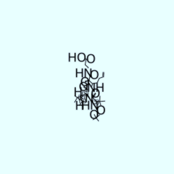 C=CCCC(NC(=O)[C@@H]1[C@@H]2[C@H](CN1C(=O)[C@@H](NC(=O)OC(C)(C)C)C(C)(C)C)C2(C)C)C(=O)C(=O)NCCC(=O)O